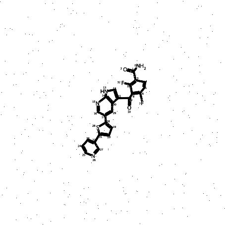 NC(=O)c1ccc(F)c(C(=O)c2c[nH]c3ncc(-c4ccc(-c5cccnc5)s4)cc23)c1F